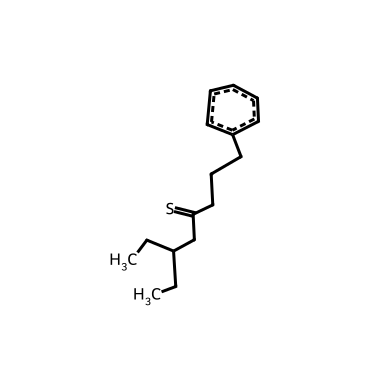 CCC(CC)CC(=S)CCCc1ccccc1